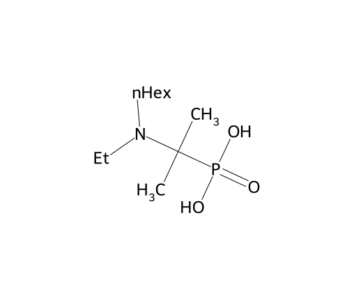 CCCCCCN(CC)C(C)(C)P(=O)(O)O